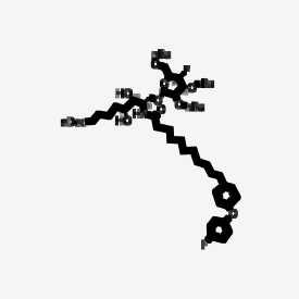 CCCCCCCCCCCCCC[C@@H](O)[C@@H](O)[C@H](CO[C@H]1OC(COCCCC)[C@@H](F)[C@H](OCCCC)C1OCCCC)NC(=O)CCCCCCCCCCc1ccc(Oc2ccc(F)cc2)cc1